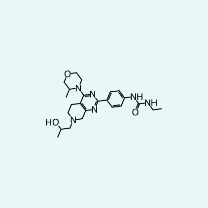 CCNC(=O)Nc1ccc(-c2nc3c(c(N4CCOCC4C)n2)CCN(CC(C)O)C3)cc1